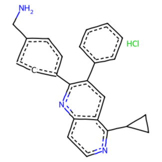 Cl.NCc1ccc(-c2nc3ccnc(C4CC4)c3cc2-c2ccccc2)cc1